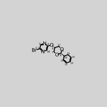 Brc1cnc(O[C@H]2CO[C@H](C3C=CC=CC3)OC2)cn1